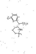 CC1(C)CCC[C@H](C(C(=O)O)c2cccc(Cl)c2)N1